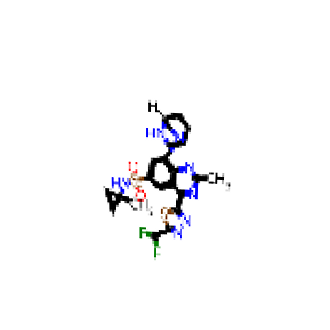 Cc1nc(-c2nnc(C(F)F)s2)c2cc(S(=O)(=O)NC3(C)CC3)cc(N3C[C@@H]4CCC3CN4)c2n1